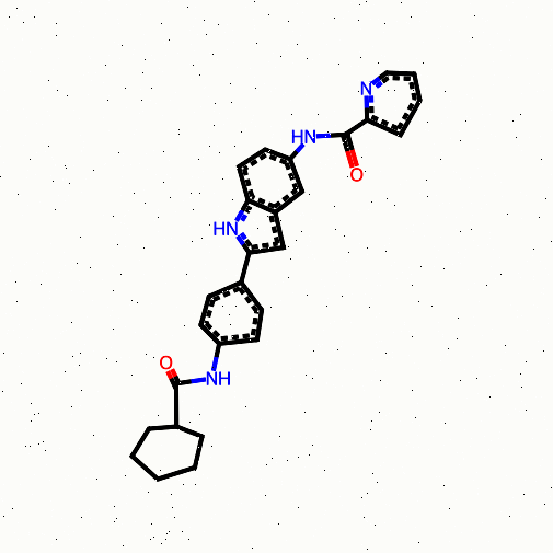 O=C(Nc1ccc2[nH]c(-c3ccc(NC(=O)C4CCCCC4)cc3)cc2c1)c1ccccn1